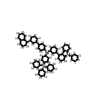 c1ccc(-n2c3ccccc3c3c(-c4cccc(N(c5ccc(-c6cccc(-c7cccc8ccccc78)c6)cc5)c5ccc([Si](c6ccccc6)(c6ccccc6)c6ccccc6)cc5)c4)cccc32)cc1